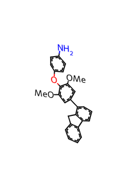 COc1cc(-c2cccc3c2Cc2ccccc2-3)cc(OC)c1Oc1ccc(N)cc1